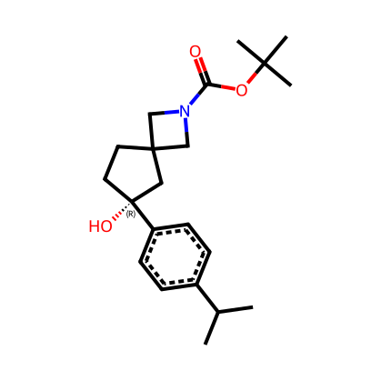 CC(C)c1ccc([C@@]2(O)CCC3(CN(C(=O)OC(C)(C)C)C3)C2)cc1